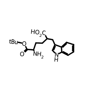 CC(C)(C)OC(=O)C(N)CCC(Cc1c[nH]c2ccccc12)C(=O)O